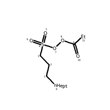 CCCCCCCCCCS(=O)(=O)OOC(=O)CC